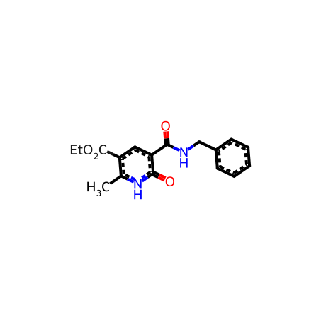 CCOC(=O)c1cc(C(=O)NCc2ccccc2)c(=O)[nH]c1C